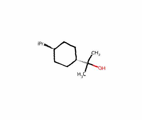 CC(C)[C@H]1CC[C@H](C(C)(C)O)CC1